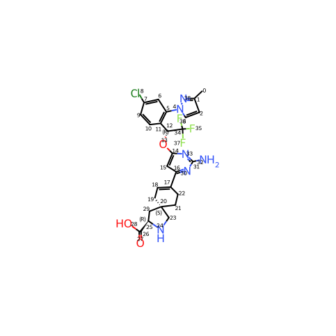 Cc1ccn(-c2cc(Cl)ccc2[C@@H](Oc2cc(C3=CC[C@]4(CC3)CN[C@@H](C(=O)O)C4)nc(N)n2)C(F)(F)F)n1